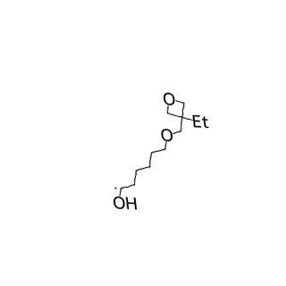 CCC1(COCCCCC[CH]O)COC1